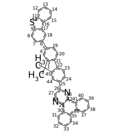 CC1(C)c2cc(-c3ccc4sc5ccccc5c4c3)ccc2-c2ccc(-c3cnc4c5ccccc5c5ccccc5c4n3)cc21